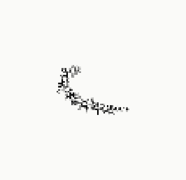 COc1ccc(NC(=O)Cn2cc(-c3ccc(-c4cnc(C(=O)Nc5ccc(C(=O)N6CCN(C(=O)C7CC[N+](C)(C)CC7)CC6)c(Cl)c5)n4C)c(F)c3F)c(C)n2)nn1